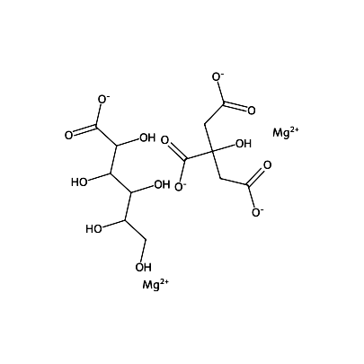 O=C([O-])C(O)C(O)C(O)C(O)CO.O=C([O-])CC(O)(CC(=O)[O-])C(=O)[O-].[Mg+2].[Mg+2]